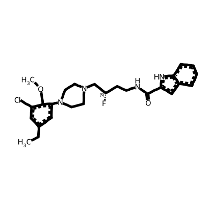 CCc1cc(Cl)c(OC)c(N2CCN(C[C@@H](F)CCNC(=O)c3cc4ccccc4[nH]3)CC2)c1